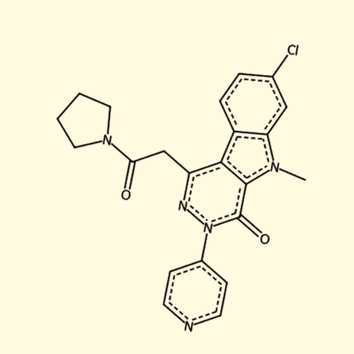 Cn1c2cc(Cl)ccc2c2c(CC(=O)N3CCCC3)nn(-c3ccncc3)c(=O)c21